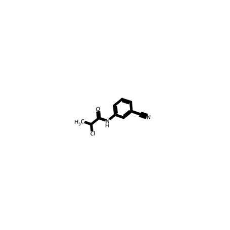 CC(Cl)C(=O)Nc1cccc(C#N)c1